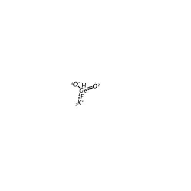 [F].[K+].[O]=[GeH][O-]